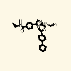 CC(C)CNc1nc(-c2ccc(-c3ccccc3)cc2)cn2c(-c3ccc(C(=O)NC4CC4)cc3)cnc12